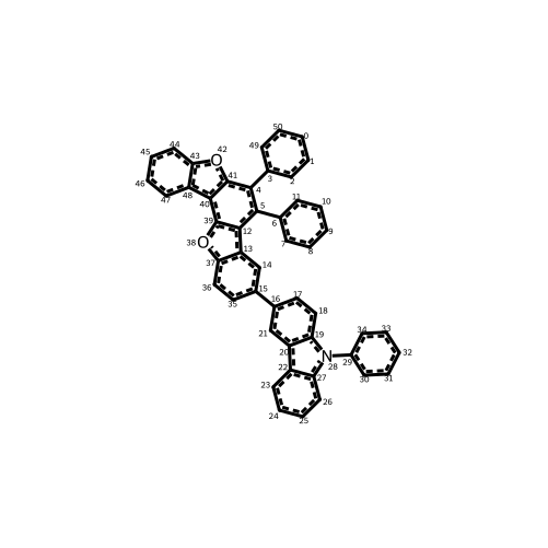 c1ccc(-c2c(-c3ccccc3)c3c4cc(-c5ccc6c(c5)c5ccccc5n6-c5ccccc5)ccc4oc3c3c2oc2ccccc23)cc1